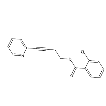 O=C(OCCC#Cc1ccccn1)c1ccccc1Cl